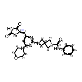 O=C1NC(=O)/C(=C/c2cc(N3CCOCC3)nc(N3CC4(CN(C(=O)Nc5ccccc5)C4)C3)n2)S1